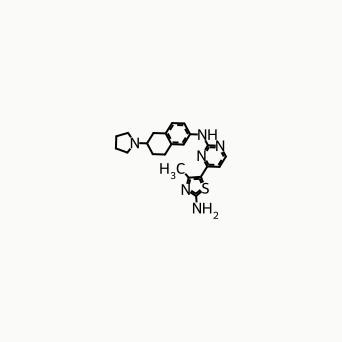 Cc1nc(N)sc1-c1ccnc(Nc2ccc3c(c2)CCC(N2CCCC2)C3)n1